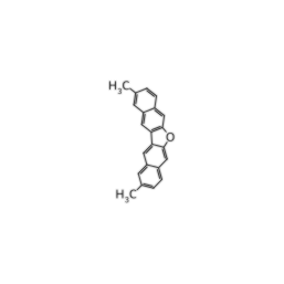 Cc1ccc2cc3oc4cc5ccc(C)cc5cc4c3cc2c1